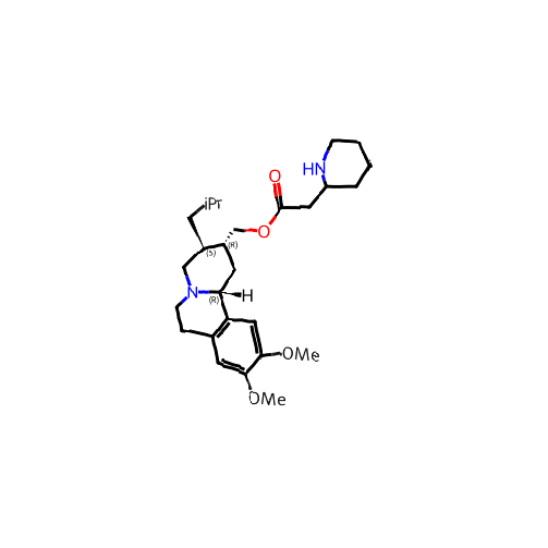 COc1cc2c(cc1OC)[C@H]1C[C@@H](COC(=O)CC3CCCCN3)[C@H](CC(C)C)CN1CC2